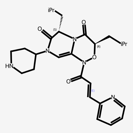 CC(C)C[C@H]1ON(C(=O)/C=C/c2ccccn2)C2=CN(C3CCNCC3)C(=O)[C@H](CC(C)C)N2C1=O